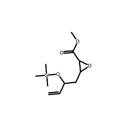 C=CC(CC1OC1C(=O)OC)O[Si](C)(C)C